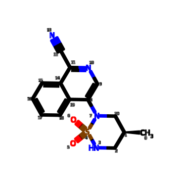 C[C@H]1CNS(=O)(=O)N(c2cnc(C#N)c3ccccc23)C1